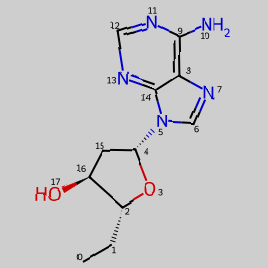 CC[C@H]1O[C@@H](n2cnc3c(N)ncnc32)C[C@@H]1O